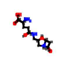 NC(CCC(=O)NCC1CN2C(=O)CC2O1)C(=O)O